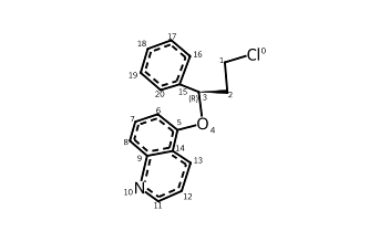 ClCC[C@@H](Oc1cccc2ncccc12)c1ccccc1